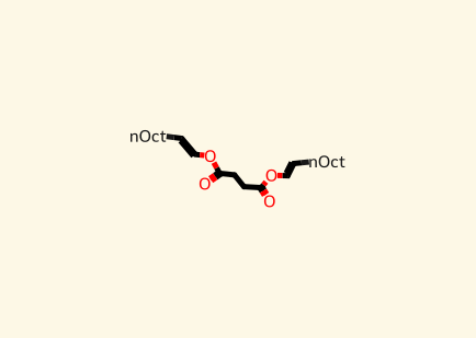 CCCCCCCCC=COC(=O)CCC(=O)OC=CCCCCCCCC